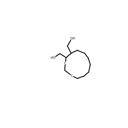 OCC1CCCCCCCCCCC1CO